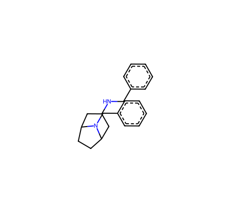 c1ccc(CNC2CC3CCC(C2)N3Cc2ccccc2)cc1